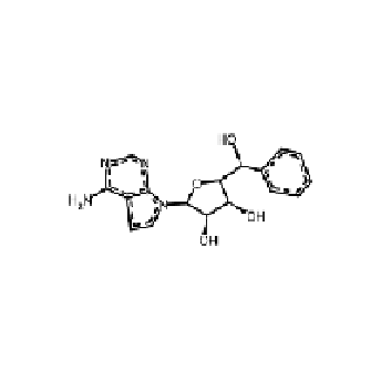 Nc1ncnc2c1ccn2C1OC([C@@H](O)c2ccccc2)[C@@H](O)[C@H]1O